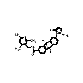 Cc1cc(N)nc(C)c1CNC(=O)c1ccc2c(c1)[C@@H]1O[C@H]2c2ccc(-n3c(=O)ccn3C)cc21